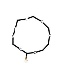 BrC1CCCCCCCCCCCCC1